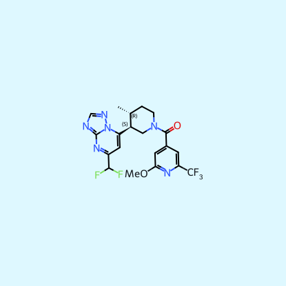 COc1cc(C(=O)N2CC[C@@H](C)[C@H](c3cc(C(F)F)nc4ncnn34)C2)cc(C(F)(F)F)n1